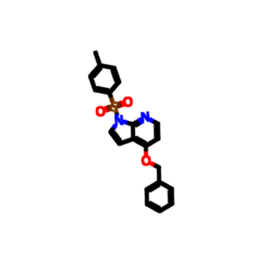 Cc1ccc(S(=O)(=O)n2ccc3c(OCc4ccccc4)ccnc32)cc1